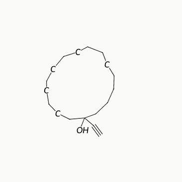 C#CC1(O)CCCCCCCCCCCCCCC1